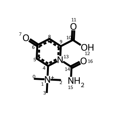 C[N+](C)(C)c1cc(=O)cc(C(=O)O)n1C(N)=O